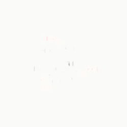 CC(C)(OO)c1cc(C(C)(C)OO)cc(C(C)(C)OO)c1